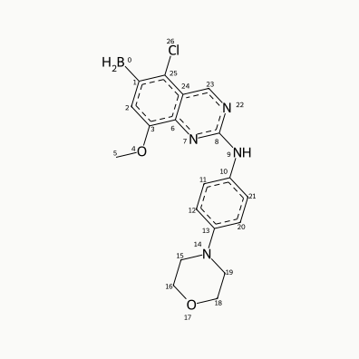 Bc1cc(OC)c2nc(Nc3ccc(N4CCOCC4)cc3)ncc2c1Cl